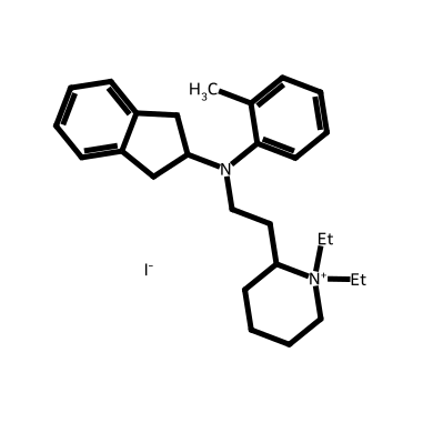 CC[N+]1(CC)CCCCC1CCN(c1ccccc1C)C1Cc2ccccc2C1.[I-]